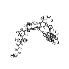 COc1cc(OC)cc(N(CCO[Si](C)(C)C(C)(C)C)c2ccc3ncc(-c4ccnc(C(=O)NCCCCCO)c4)nc3c2)c1